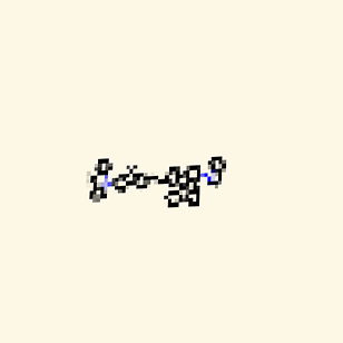 CC1(C)c2ccccc2N(C2=CC3C(C=C2)c2ccc(/C=C/c4ccc5c(c4)C4(c6ccccc6-c6ccccc64)c4cc(N6CCCc7ccccc76)ccc4-5)cc2C3(C)C)c2ccccc21